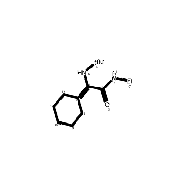 CCNC(=O)C(NC(C)(C)C)=C1CCCCC1